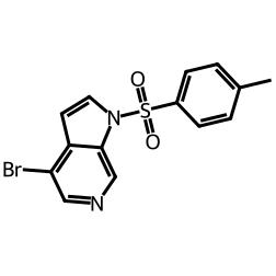 Cc1ccc(S(=O)(=O)n2ccc3c(Br)cncc32)cc1